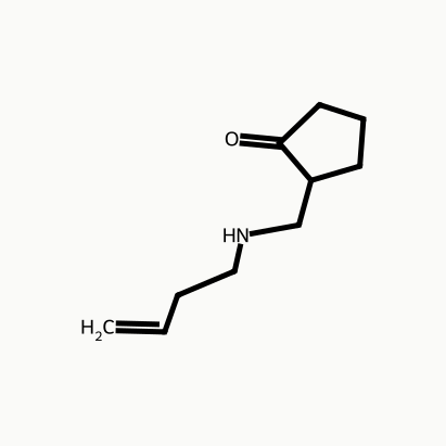 C=CCCNCC1CCCC1=O